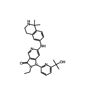 CCn1c(=O)c2cnc(Nc3ccc4c(c3)CCNC4(C)C)cc2n1-c1cccc(C(C)(C)O)n1